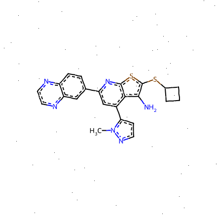 Cn1nccc1-c1cc(-c2ccc3nccnc3c2)nc2sc(SC3CCC3)c(N)c12